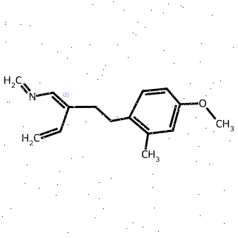 C=C/C(=C\N=C)CCc1ccc(OC)cc1C